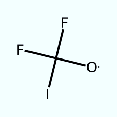 [O]C(F)(F)I